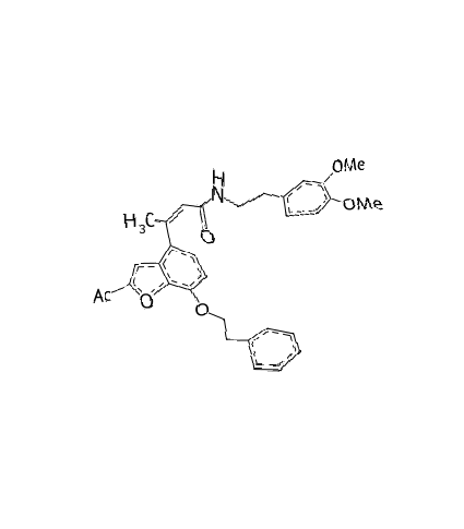 COc1ccc(CCNC(=O)/C=C(/C)c2ccc(OCCc3ccccc3)c3oc(C(C)=O)cc23)cc1OC